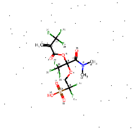 C=C(C(=O)OC(OCC(F)(F)S(=O)(=O)O)(C(=O)N(C)C)C(F)(F)F)C(F)(F)F